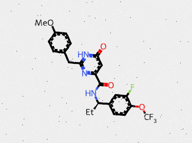 CC[C@@H](NC(=O)c1cc(=O)[nH]c(Cc2ccc(OC)cc2)n1)c1ccc(OC(F)(F)F)c(F)c1